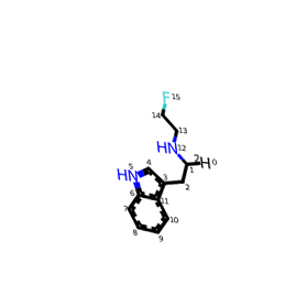 [2H]C(Cc1c[nH]c2ccccc12)NCCF